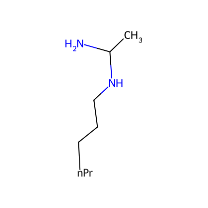 CCCCCCNC(C)N